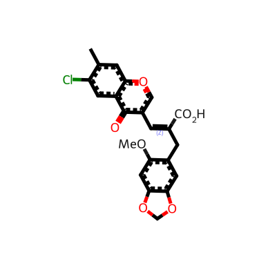 COc1cc2c(cc1C/C(=C/c1coc3cc(C)c(Cl)cc3c1=O)C(=O)O)OCO2